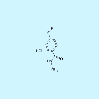 Cl.NNC(=O)c1ccc(SF)cc1